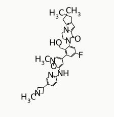 CN1CC(c2ccc(NC3=CC(c4cc(F)cc(N5CCn6c(cc7c6CC(C)(C)C7)C5=O)c4CO)=CN(C)O3)nc2)C1